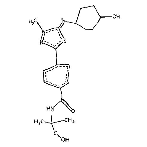 Cn1nc(-c2ccc(C(=O)NC(C)(C)CO)cc2)sc1=NC1CCC(O)CC1